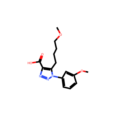 COCCCCc1c(C(=O)O)nnn1-c1cccc(OC)c1